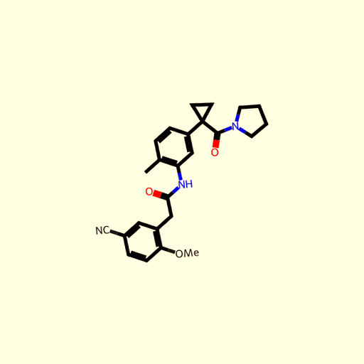 COc1ccc(C#N)cc1CC(=O)Nc1cc(C2(C(=O)N3CCCC3)CC2)ccc1C